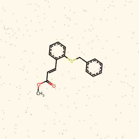 COC(=O)C=Cc1ccccc1SCc1ccccc1